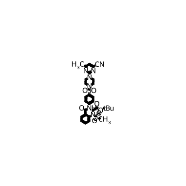 Cc1cc(C#N)nc(N2CCN(S(=O)(=O)c3ccc(NC(=O)c4ccccc4N(CC(=O)OC(C)(C)C)S(C)(=O)=O)cc3)CC2)n1